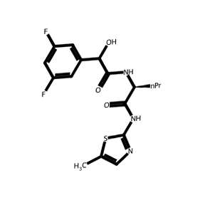 CCC[C@H](NC(=O)C(O)c1cc(F)cc(F)c1)C(=O)Nc1ncc(C)s1